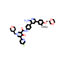 COc1cc(-c2cnc(N)c(-c3ccc(NC(=O)c4cn(CC5CCOCC5)cc(-c5ccc(F)cn5)c4=O)cc3)c2)ccc1OC[C@H]1COCCO1